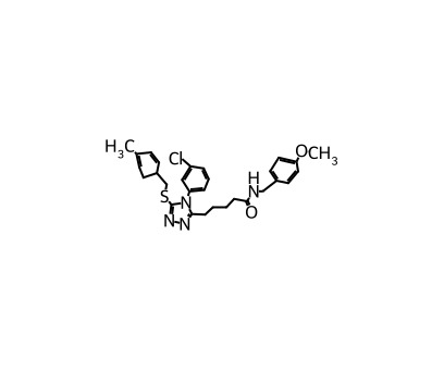 COc1ccc(CNC(=O)CCCCc2nnc(SCC3C=CC(C)=CC3)n2-c2cccc(Cl)c2)cc1